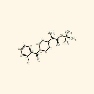 CC(C)(C)OC(=O)N(N)C1CCN(C(=O)c2ccccc2I)CC1